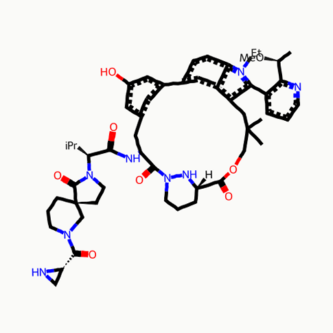 CCn1c(-c2cccnc2[C@H](C)OC)c2c3cc(ccc31)-c1cc(O)cc(c1)C[C@H](NC(=O)[C@H](C(C)C)N1CC[C@@]3(CCCN(C(=O)[C@@H]4CN4)C3)C1=O)C(=O)N1CCC[C@H](N1)C(=O)OCC(C)(C)C2